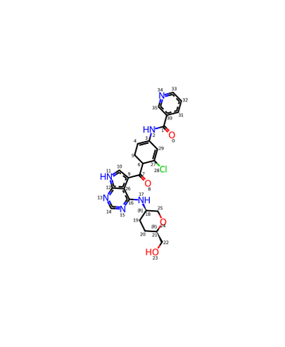 O=C(NC1=CCC(C(=O)c2c[nH]c3ncnc(N[C@@H]4CC[C@H](CO)OC4)c23)C(Cl)=C1)c1cccnc1